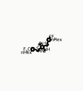 CCCCCCc1cc(-c2ccc(-c3c4c(c(-c5ccc(-c6ccc(C(F)(F)F)c(CCCCCC)c6)s5)c5nsnc35)NSN4)s2)ccc1C(F)(F)F